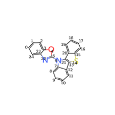 c1ccc2oc(-n3c4ccccc4c4sc5ccccc5c43)nc2c1